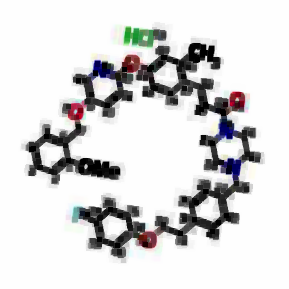 COc1ccccc1COc1ccc(Oc2ccc(C=CC(=O)N3CCN(Cc4ccc(CCOc5ccc(F)cc5)cc4)CC3)c(C)c2)nc1.Cl